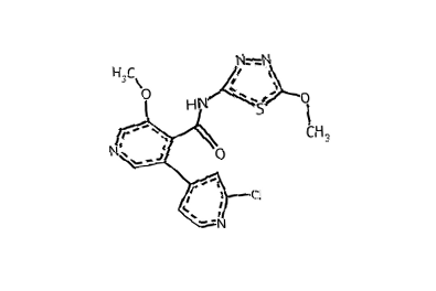 COc1nnc(NC(=O)c2c(OC)cncc2-c2ccnc(Cl)c2)s1